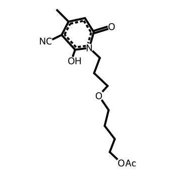 CC(=O)OCCCCOCCCn1c(O)c(C#N)c(C)cc1=O